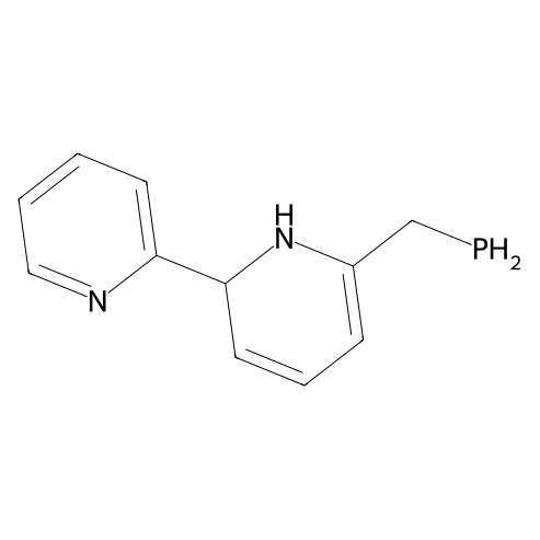 PCC1=CC=CC(c2ccccn2)N1